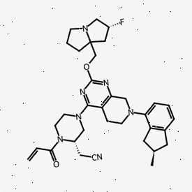 C=CC(=O)N1CCN(c2nc(OCC34CCCN3C[C@H](F)C4)nc3c2CCN(c2cccc4c2C[C@H](C)C4)C3)C[C@@H]1CC#N